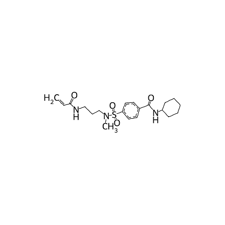 C=CC(=O)NCCCN(C)S(=O)(=O)c1ccc(C(=O)NC2CCCCC2)cc1